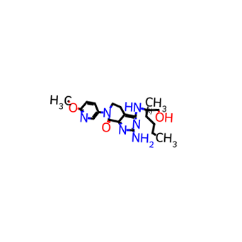 CCCC[C@](C)(CO)Nc1nc(N)nc2c1CCN(c1ccc(OC)nc1)C2=O